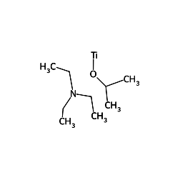 CC(C)[O][Ti].CCN(CC)CC